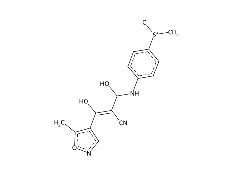 Cc1oncc1/C(O)=C(\C#N)C(O)Nc1ccc([S+](C)[O-])cc1